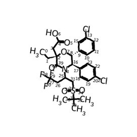 CC[C@@]1(CC(=O)O)O[C@H](c2cccc(Cl)c2)[C@@H](c2ccc(Cl)cc2)N(C(CC(F)(F)F)CS(=O)(=O)C(C)(C)C)C1=O